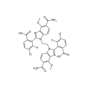 COc1c(C(N)=O)ccc2c1nc(-c1c(C(=O)O)ccc(Cl)c1F)n2CCn1c(-c2c(C(=O)O)ccc(Cl)c2F)nc2c(OC)c(C(N)=O)ccc21